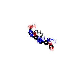 COc1cc(Nc2nccc(-c3ccc(OC4CCOCC4)c(N)c3)n2)ccc1CN1CCN(CCO)CC1